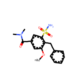 CCCCOc1cc(C(=O)N(C)C)cc(S(N)(=O)=O)c1Cc1ccccc1